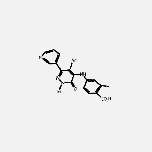 CCn1nc(-c2cccnc2)c(C(C)=O)c(Nc2ccc(C(=O)O)c(C)c2)c1=O